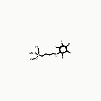 CO[Si](CCCCNc1c(F)c(F)c(F)c(F)c1F)(OC(C)C)OC(C)C